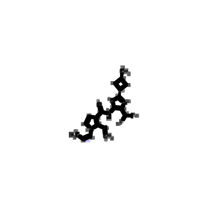 C=Nc1c(C(=O)Nc2oc([C@H]3C[C@H](C)C3)nc2C(F)F)ccn1/C=C\C